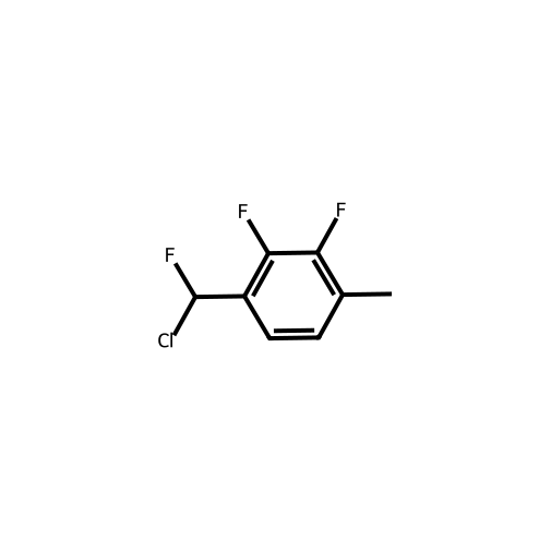 Cc1ccc(C(F)Cl)c(F)c1F